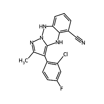 Cc1nn2c(c1-c1ccc(F)cc1Cl)Nc1c(C#N)cccc1N2